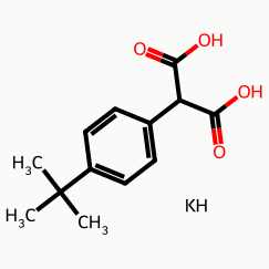 CC(C)(C)c1ccc(C(C(=O)O)C(=O)O)cc1.[KH]